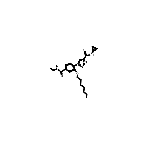 CCNC(=O)c1ccc(-n2cc(C(=O)NC3CC3)nn2)c(OCCCCCCF)c1